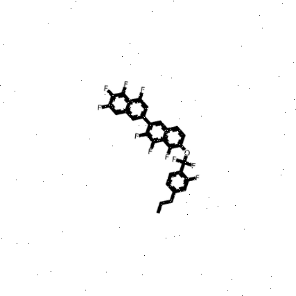 CCCc1ccc(C(F)(F)Oc2ccc3cc(-c4cc(F)c5c(F)c(F)c(F)cc5c4)c(F)c(F)c3c2F)c(F)c1